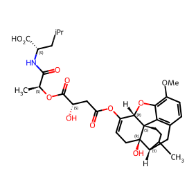 COc1ccc2c3c1O[C@H]1C(OC(=O)C[C@H](O)C(=O)O[C@@H](C)C(=O)N[C@@H](CC(C)C)C(=O)O)=CC[C@@]4(O)[C@@H](C2)C(C)CC[C@]314